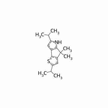 CC(C)c1cc2c([nH]1)C(C)(C)c1cc(C(C)C)sc1-2